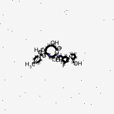 C/C(=C\c1cc(F)cc(N2CCC[C@H]2CO)c1)[C@H]1OC(=O)C[C@H](O)CC[C@H](C)[C@@H](OC(=O)N2CCN(C)CC2)/C=C/[C@@H]1C